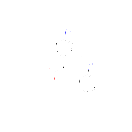 CCOC(O)Cc1ccc(N)cc1S(=O)(=O)Nc1ccc(Cl)cc1